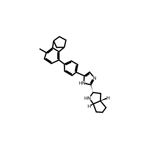 Cc1ccc(-c2ccc(-c3cnc([C@@H]4C[C@@H]5CCC[C@@H]5N4)[nH]3)cc2)c2c1C1CCC2C1